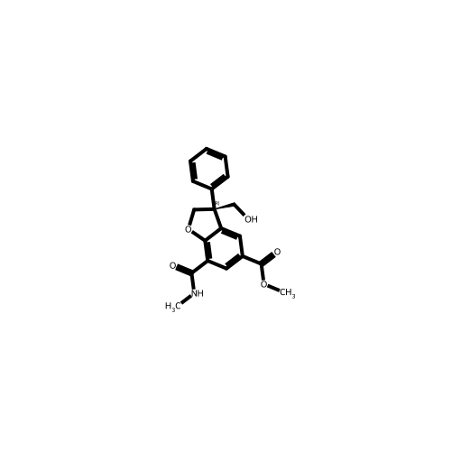 CNC(=O)c1cc(C(=O)OC)cc2c1OC[C@]2(CO)c1ccccc1